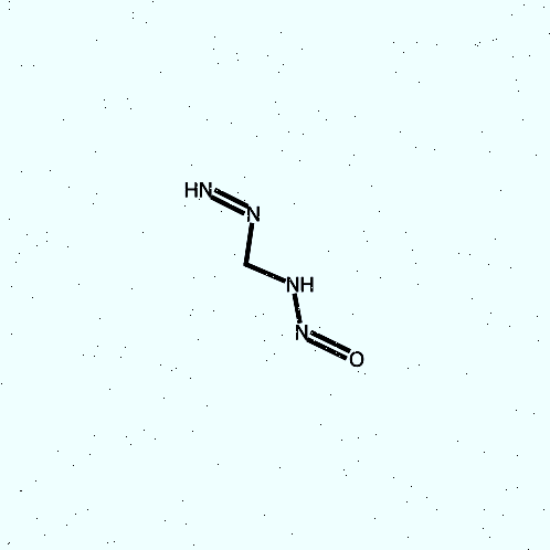 N=NCNN=O